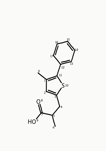 Cc1cc(CC(C)C(=O)O)sc1-c1ccccc1